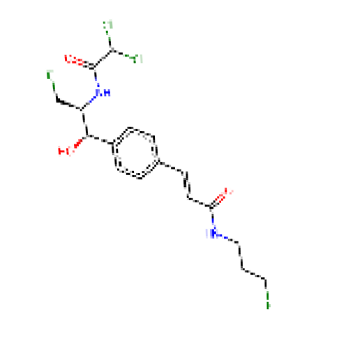 O=C(/C=C/c1ccc([C@@H](O)[C@@H](CF)NC(=O)C(Cl)Cl)cc1)NCCCF